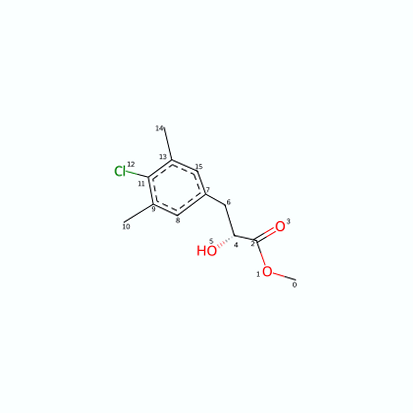 COC(=O)[C@H](O)Cc1cc(C)c(Cl)c(C)c1